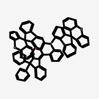 c1ccc(C2(c3ccccc3)c3ccccc3-c3c(-c4ccccc4N(c4ccc5c(c4)-c4ccccc4C54c5ccccc5Oc5ccccc54)c4cccc5c4-c4ccccc4C54c5ccccc5Oc5ccccc54)cccc32)cc1